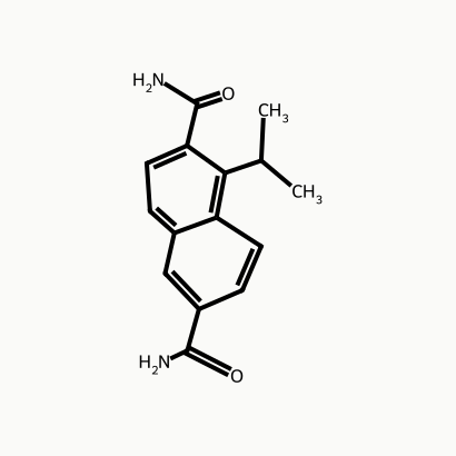 CC(C)c1c(C(N)=O)ccc2cc(C(N)=O)ccc12